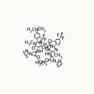 CCO[C@H]1CN(c2nccs2)C[C@H]1Nc1c(C)nc(-c2ccc(C(F)(F)F)cc2Cl)n(C)c1=O.CCO[C@H]1CN(c2nccs2)C[C@H]1Nc1c(C)nc(-c2ccc(N(C)C)cc2C(F)(F)F)n(C)c1=O